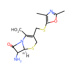 Cc1nc(C)c(SCC2=C(C(=O)O)N3C(=O)C(N)[C@@H]3SC2)o1